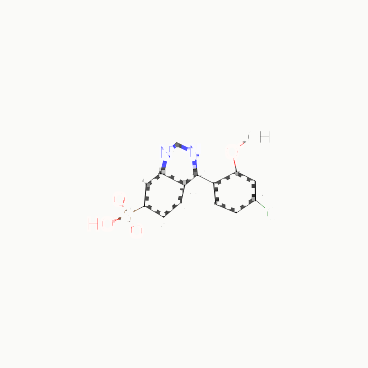 COc1cc(Cl)ccc1-c1ncnc2cc(S(=O)(=O)O)ccc12